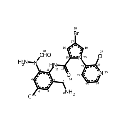 NCc1cc(Cl)cc(N(N)C=O)c1NC(=O)c1cc(Br)cn1-c1cccnc1Cl